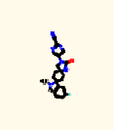 CN(C)[C@]1(c2cccc(F)c2)CC[C@@]2(CC1)CN(c1cnc(C#N)nc1)C(=O)N2